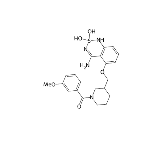 COc1cccc(C(=O)N2CCCC(COc3cccc4c3C(N)=NS(O)(O)N4)C2)c1